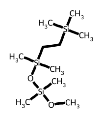 CO[Si](C)(C)O[Si](C)(C)CC[Si](C)(C)C